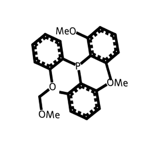 COCOc1ccccc1P(c1c(C)cccc1OC)c1c(C)cccc1OC